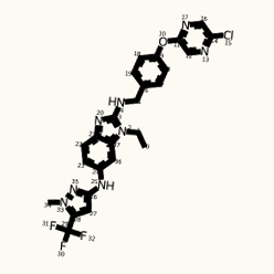 CCn1c(NCc2ccc(Oc3cnc(Cl)cn3)cc2)nc2ccc(Nc3cc(C(F)(F)F)n(C)n3)cc21